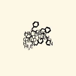 Cc1ccc(CN(C)C(=O)N[C@H](C(=O)N[C@@H](Cc2ccccc2)[C@@H](O)C[C@H](Cc2ccccc2)NC(=O)OCc2cccnc2)C(C)C)cn1